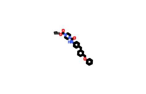 CC(C)(C)OC(=O)N1CCN(C(=O)Nc2ccc(CC3CCCC(COc4ccccc4)C3)cc2)CC1